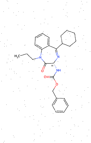 CCCN1C(=O)[C@@H](NC(=O)OCc2ccccc2)N=C(C2CCCCC2)c2ccccc21